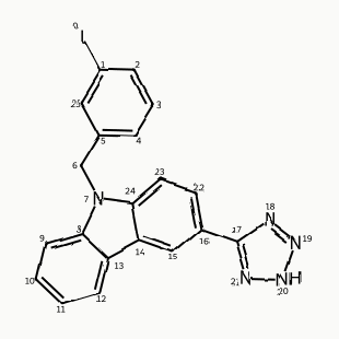 Ic1cccc(Cn2c3ccccc3c3cc(-c4nn[nH]n4)ccc32)c1